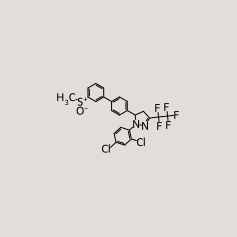 C[S+]([O-])c1cccc(-c2ccc(C3CC(C(F)(F)C(F)(F)F)=NN3c3ccc(Cl)cc3Cl)cc2)c1